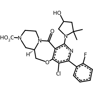 CC1(C)CC(O)CN1c1nc(-c2ccccc2F)c(Cl)c2c1C(=O)N1CCN(C(=O)O)C[C@@H]1CO2